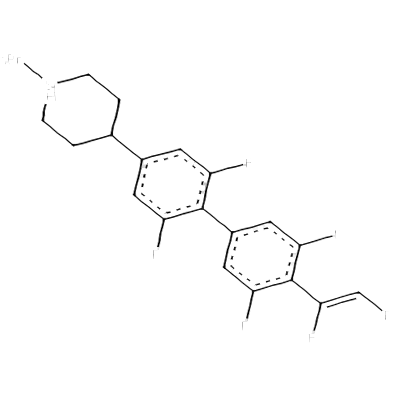 CCC[SiH]1CCC(c2cc(F)c(-c3cc(F)c(C(F)=CF)c(F)c3)c(F)c2)CC1